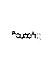 CCC(C)C(=O)N1CCc2nc(OC3CCN(C4CCC4)CC3)ccc2C1